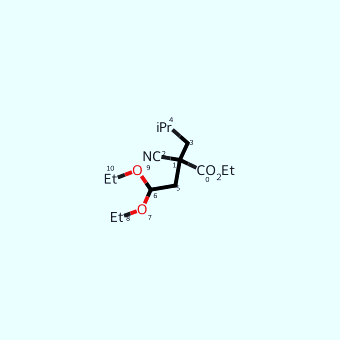 CCOC(=O)C(C#N)(CC(C)C)CC(OCC)OCC